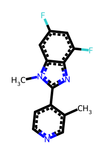 Cc1cnccc1-c1nc2c(F)cc(F)cc2n1C